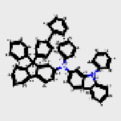 c1ccc(-c2ccc(C3(c4ccccc4)c4ccccc4-c4ccc(N(c5ccccc5)c5ccc6c7ccccc7n(-c7ccccc7)c6c5)cc43)cc2)cc1